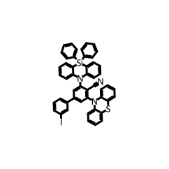 N#Cc1c(N2c3ccccc3Sc3ccccc32)cc(-c2cccc(I)c2)cc1N1c2ccccc2[Si](c2ccccc2)(c2ccccc2)c2ccccc21